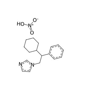 O=[N+]([O-])O.c1ccc(C(Cn2ccnc2)C2CCCCC2)cc1